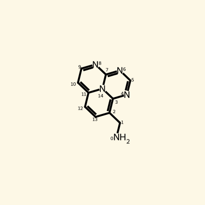 NCC1=C2N=CN=C3N=CC=C(C=C1)N32